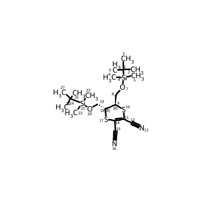 CC(C)(C)[Si](C)(C)OC[C@H]1SC(C#N)=C(C#N)S[C@@H]1CO[Si](C)(C)C(C)(C)C